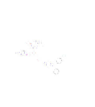 CC(N)C(=O)NC(Cc1c[nH]cn1)C(=O)OCCOCCN1CCN(C(c2ccccc2)c2ccc(Cl)cc2)CC1